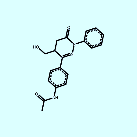 CC(=O)Nc1ccc(C2=NN(c3ccccc3)C(=O)CC2CO)cc1